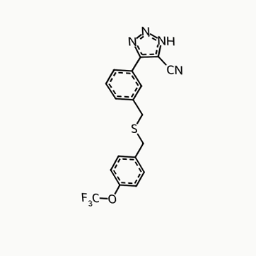 N#Cc1[nH]nnc1-c1cccc(CSCc2ccc(OC(F)(F)F)cc2)c1